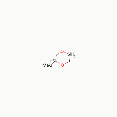 CO[SiH]1CO[SiH2]CO1